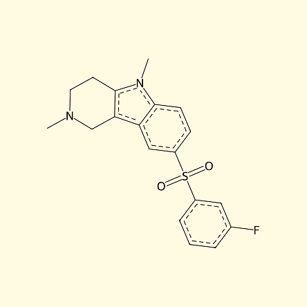 CN1CCc2c(c3cc(S(=O)(=O)c4cccc(F)c4)ccc3n2C)C1